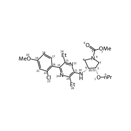 CCCO[C@H]1CN(C(=O)OC)C[C@H]1Nc1nc(CC)c(-c2ccc(OC)cc2Cl)nc1CC